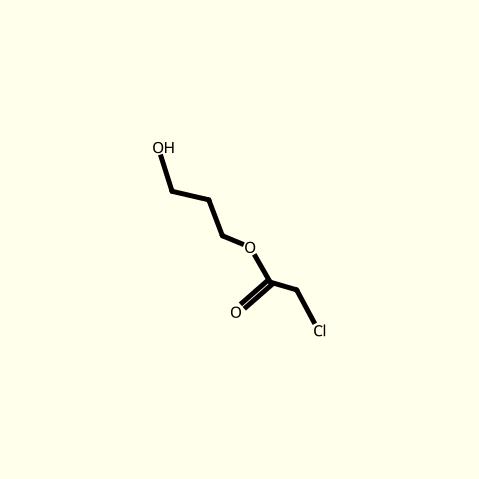 O=C(CCl)OCCCO